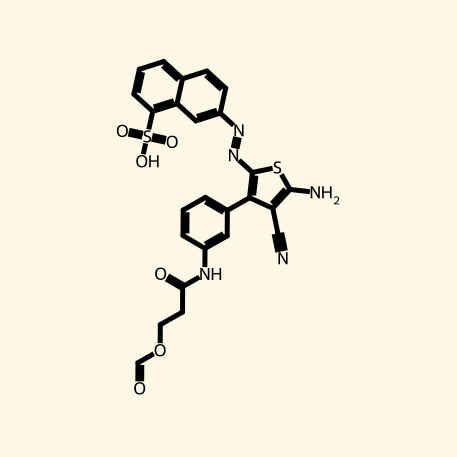 N#Cc1c(N)sc(N=Nc2ccc3cccc(S(=O)(=O)O)c3c2)c1-c1cccc(NC(=O)CCOC=O)c1